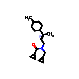 CC1=CCC(/C(C)=C/CN(CC2CC2)C(=O)C2CC2)CC1